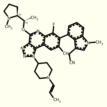 CC=CN1CCC(n2nnc3c(O[C@@H](C)[C@@H]4CCCN4C)nc4c(F)c(-c5cccc6c5c(CC#N)cn6C)c(C)cc4c32)CC1